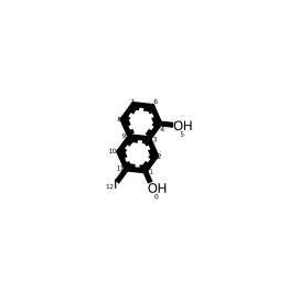 Oc1cc2c(O)cccc2cc1I